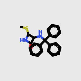 CSC1NC(=O)C1NC(c1ccccc1)(c1ccccc1)c1ccccc1